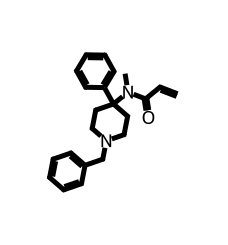 C=CC(=O)N(C)C1(c2ccccc2)CCN(Cc2ccccc2)CC1